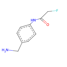 NCc1ccc(NC(=O)CF)cc1